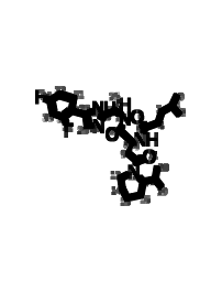 CC(C)CCC(=O)N[C@@H](CC(=O)N1CCCCC1C(C)C)C(=O)N[C@@H](C)c1ncc(-c2ccc(F)cc2F)[nH]1